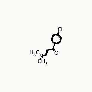 CN(C)C=CC(=O)c1ccc(Cl)cc1